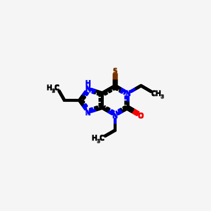 CCc1nc2c([nH]1)c(=S)n(CC)c(=O)n2CC